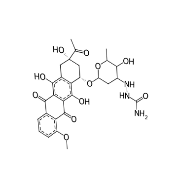 COc1cccc2c1C(=O)c1c(O)c3c(c(O)c1C2=O)C[C@@](O)(C(C)=O)C[C@@H]3OC1CC(NNC(N)=O)C(O)C(C)O1